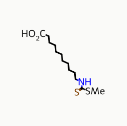 CSC(=S)NCCCCCCCCCCC(=O)O